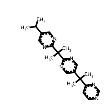 CC(C)c1cnc(C(C)(C)c2ncc(C(C)(C)c3ccncn3)cn2)nc1